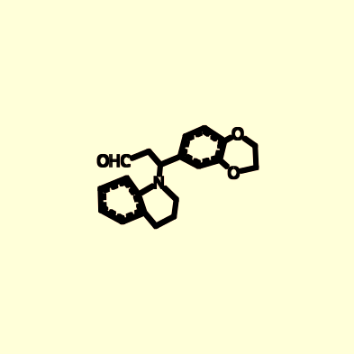 O=CCC(c1ccc2c(c1)OCCO2)N1CCCc2ccccc21